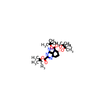 CC(C)(C)OC(=O)c1nc(N)c2c(C(=O)OC(C)(C)C)c(B3OC(C)(C)C(C)(C)O3)ccc2n1